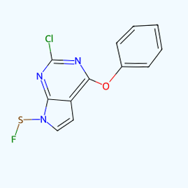 FSn1ccc2c(Oc3ccccc3)nc(Cl)nc21